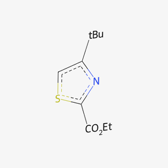 CCOC(=O)c1nc(C(C)(C)C)cs1